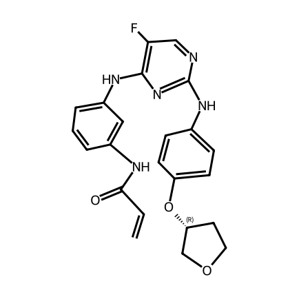 C=CC(=O)Nc1cccc(Nc2nc(Nc3ccc(O[C@@H]4CCOC4)cc3)ncc2F)c1